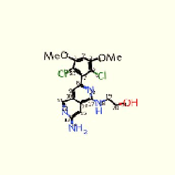 COc1cc(OC)c(Cl)c(-c2cc3cnc(N)cc3c(NCCO)n2)c1Cl